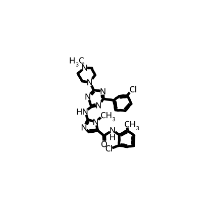 Cc1cccc(Cl)c1NC(=O)c1cnc(Nc2nc(-c3cccc(Cl)c3)nc(N3CCN(C)CC3)n2)n1C